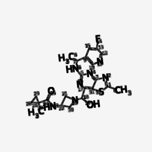 Cc1nc2nc(NC(C)c3cncc(F)c3)nc(C(O)N3CC(NC(=O)C4(C)CC4)C3)c2s1